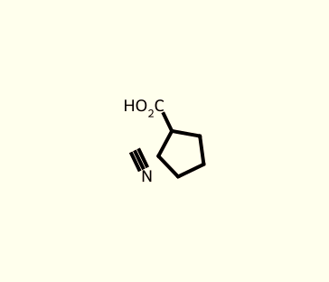 C#N.O=C(O)C1CCCC1